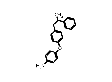 CC(Cc1ccc(Oc2ccc(N)cc2)cc1)c1ccccc1